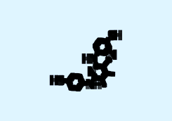 Cc1c(Nc2ccc(S)cc2)nc(Nc2ccc(S)cc2)c(C#N)c1C